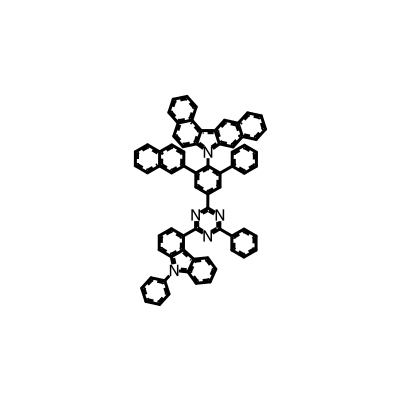 c1ccc(-c2nc(-c3cc(-c4ccccc4)c(-n4c5cc6ccccc6cc5c5c6ccccc6ccc54)c(-c4ccc5ccccc5c4)c3)nc(-c3cccc4c3c3ccccc3n4-c3ccccc3)n2)cc1